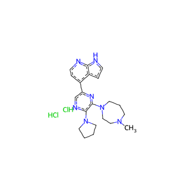 CN1CCCN(c2nc(-c3ccnc4[nH]ccc34)cnc2N2CCCC2)CC1.Cl.Cl